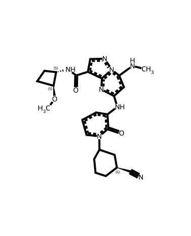 CNc1cc(Nc2cccn(C3CCC[C@H](C#N)C3)c2=O)nc2c(C(=O)N[C@H]3CC[C@@H]3OC)cnn12